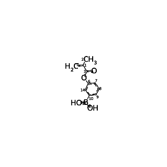 C=C(C)C(=O)Oc1cccc(B(O)O)c1